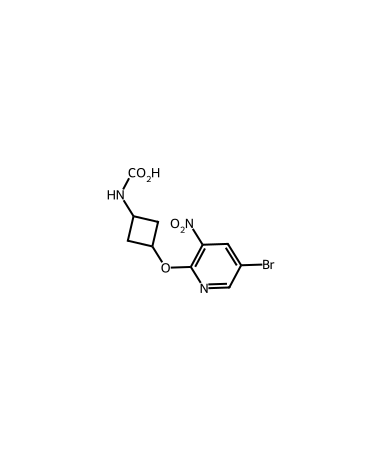 O=C(O)NC1CC(Oc2ncc(Br)cc2[N+](=O)[O-])C1